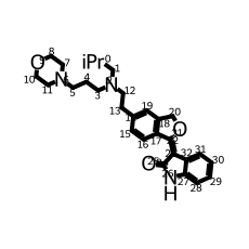 CC(C)CN(CCCN1CCOCC1)CCc1ccc2c(c1)CO/C2=C1/C(=O)Nc2ccccc21